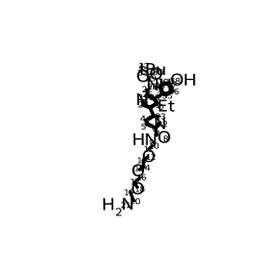 CCc1c(-c2ccc(C(=O)NCCOCCOCCOCCN)nc2)cnc(CNC(=O)OC(C)(C)C)c1-c1ccc(O)cc1